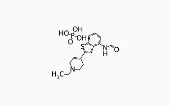 CCN1CC=C(c2cc3c(NC=O)cccc3s2)CC1.O=P(O)(O)O